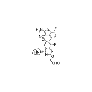 N#Cc1c(N)sc2c(F)ccc(-c3c(Cl)cc4c(N5CC6CCC(C5)N6)nc(OCC=O)nc4c3F)c12